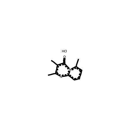 Cc1nc2cccc(C)n2c(=O)c1C.Cl